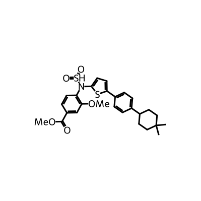 COC(=O)c1ccc(N(c2ccc(-c3ccc(C4CCC(C)(C)CC4)cc3)s2)[SH](=O)=O)c(OC)c1